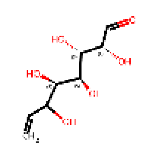 C=CC(O)[C@@H](O)[C@H](O)[C@H](O)[C@@H](O)C=O